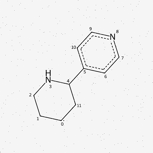 [CH]1CCNC(c2ccncc2)C1